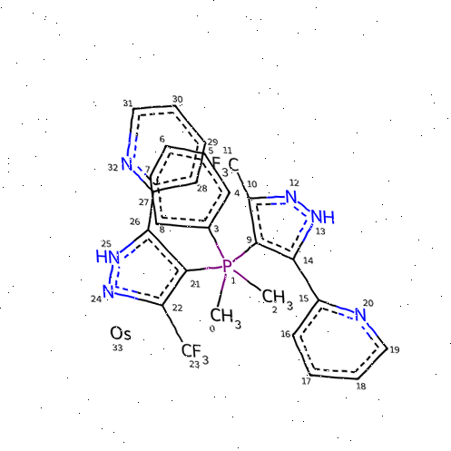 CP(C)(c1ccccc1)(c1c(C(F)(F)F)n[nH]c1-c1ccccn1)c1c(C(F)(F)F)n[nH]c1-c1ccccn1.[Os]